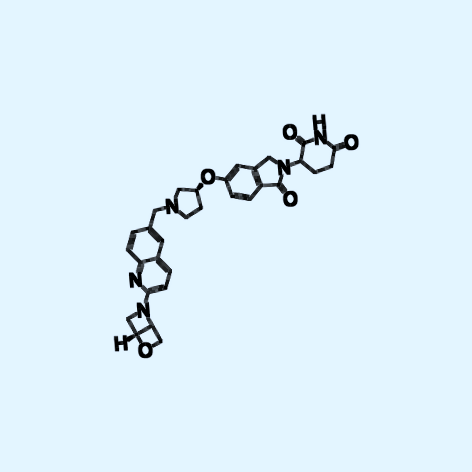 O=C1CCC(N2Cc3cc(O[C@H]4CCN(Cc5ccc6nc(N7C[C@H]8OCC87)ccc6c5)C4)ccc3C2=O)C(=O)N1